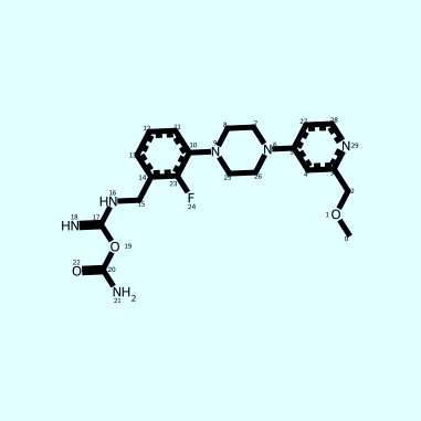 COCc1cc(N2CCN(c3cccc(CNC(=N)OC(N)=O)c3F)CC2)ccn1